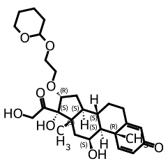 C[C@]12C=CC(=O)C=C1CC[C@@H]1[C@@H]2[C@@H](O)C[C@@]2(C)[C@H]1C[C@@H](OCCOC1CCCCO1)[C@]2(O)C(=O)CO